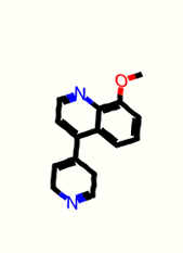 COc1cccc2c(C3=CCN=CC3)ccnc12